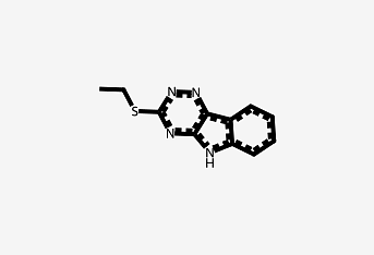 CCSc1nnc2c(n1)[nH]c1ccccc12